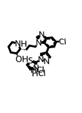 Cl.Cl.O[C@H]1CCCN[C@@H]1CCCn1cnc2cc(Cl)cc(-c3cnn(-c4nccs4)c3)c21